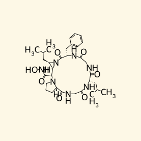 CC(C)C[C@@H]1NC(=O)CNC(=O)[C@@H]2CCCN2[C@@H](C(=O)NO)[C@H]2[C@@H](CC(C)C)N2C(=O)[C@H](Cc2ccccc2)NC(=O)CNC1=O